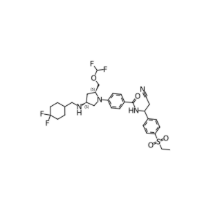 CCS(=O)(=O)c1ccc(C(CC#N)NC(=O)c2ccc(N3C[C@@H](NCC4CCC(F)(F)CC4)C[C@H]3COC(F)F)cc2)cc1